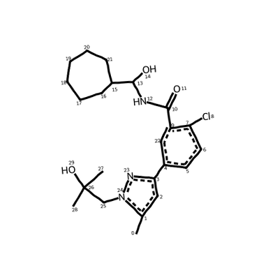 Cc1cc(-c2ccc(Cl)c(C(=O)NC(O)C3CCCCCC3)c2)nn1CC(C)(C)O